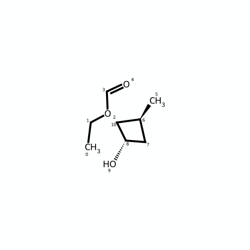 CCOC=O.C[C@H]1C[C@H](O)C1